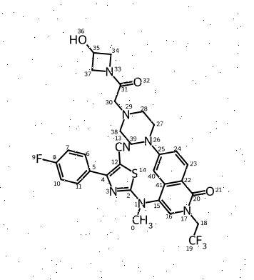 CN(c1nc(-c2ccc(F)cc2)c(C#N)s1)c1cn(CC(F)(F)F)c(=O)c2ccc(N3CCN(CC(=O)N4CC(O)C4)CC3)cc12